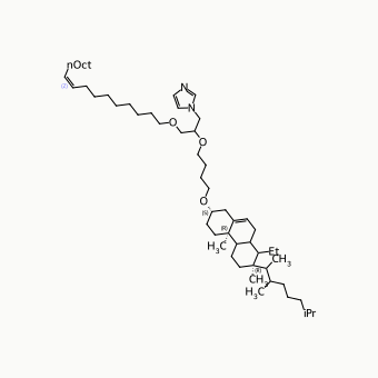 CCCCCCCC/C=C\CCCCCCCCOCC(Cn1ccnc1)OCCCCO[C@H]1CC[C@@]2(C)C(=CCC3C(CC)[C@@](C)(C(C)C(C)CCCC(C)C)CCC32)C1